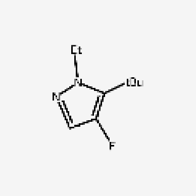 CCn1ncc(F)c1C(C)(C)C